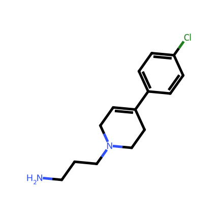 NCCCN1CC=C(c2ccc(Cl)cc2)CC1